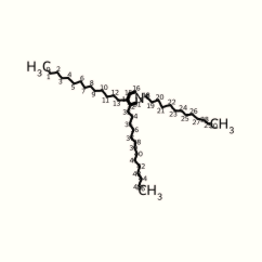 CCCCCCCCCCCCCCc1cc[n+](CCCCCCCCCCCCC)cc1CCCCCCCCCCCCCC